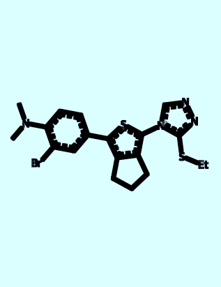 CCSc1nncn1-c1sc(-c2ccc(N(C)C)c(Br)c2)c2c1CCC2